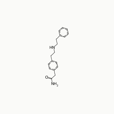 NC(=O)Cc1ccc(CCNCCc2ccccc2)cc1